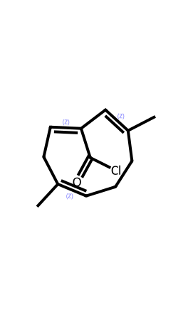 C/C1=C/CC/C(C)=C\C(C(=O)Cl)=C\C1